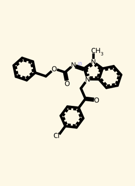 Cn1/c(=N/C(=O)OCc2ccccc2)n(CC(=O)c2ccc(Cl)cc2)c2ccccc21